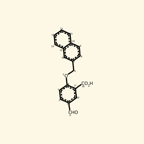 O=Cc1ccc(OCc2ccc3ccccc3c2)c(C(=O)O)c1